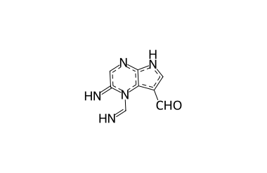 N=Cn1c(=N)cnc2[nH]cc(C=O)c21